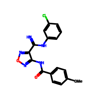 COc1ccc(C(=O)Nc2nonc2C(=N)Nc2cccc(Cl)c2)cc1